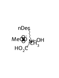 CCCCCCCCCCCCCCCCCC[N+](C)(CCCCO)CCCCC(=O)O.COS(=O)(=O)[O-]